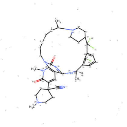 CC1CCCCCn2c(=O)nc(c3cc(C4(C#N)CCN(C)CC4)c(=O)n(C)c32)N[C@H](C)c2cccc(c2F)C(F)(F)C2CCN1CC2